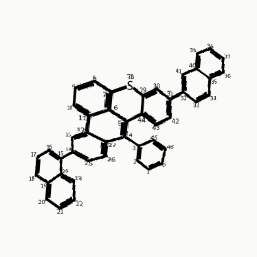 c1ccc(-c2c3c4c(cccc4c4cc(-c5cccc6ccccc56)ccc24)Sc2cc(-c4ccc5ccccc5c4)ccc2-3)cc1